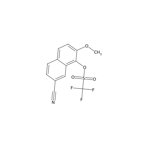 COc1ccc2ccc(C#N)cc2c1OS(=O)(=O)C(F)(F)F